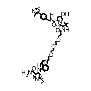 CSc1nnc(C(N)=O)c(Nc2cccc3c2ccn3CCOCCOCCOCCC(=O)N[C@H](C(=O)N2C[C@H](O)C[C@H]2C(=O)NCc2ccc(-c3scnc3C)cc2)C(C)(C)C)n1